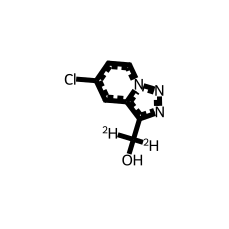 [2H]C([2H])(O)c1nnn2ccc(Cl)cc12